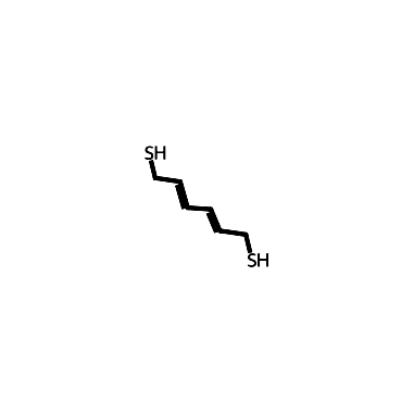 SC/C=C/C=C/CS